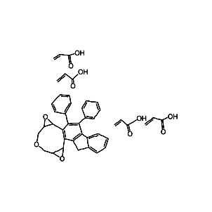 C=CC(=O)O.C=CC(=O)O.C=CC(=O)O.C=CC(=O)O.c1ccc(-c2c3c(c4c(c2-c2ccccc2)C2OC2COCC2OC42)Cc2ccccc2-3)cc1